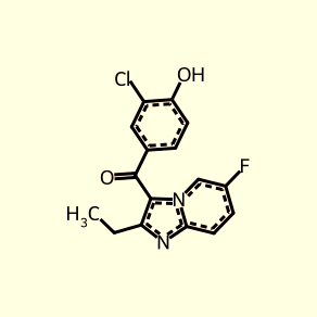 CCc1nc2ccc(F)cn2c1C(=O)c1ccc(O)c(Cl)c1